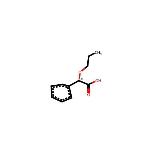 CCCO[C@@H](C(=O)O)c1ccccc1